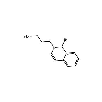 CCCCCCCCCCCCN1C=Cc2ccccc2C1Br